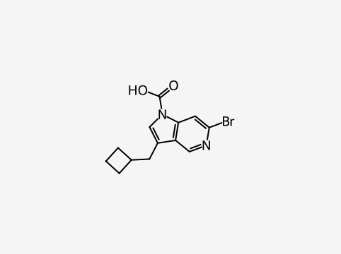 O=C(O)n1cc(CC2CCC2)c2cnc(Br)cc21